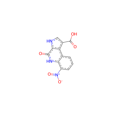 O=C(O)c1c[nH]c2c(=O)[nH]c3c([N+](=O)[O-])cccc3c12